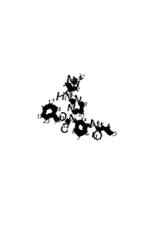 C=CC(=O)Nc1cccc(N(C(=O)OCc2ccccc2)c2ccnc(Nc3cnn(C)c3)n2)c1